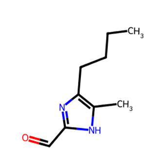 CCCCc1nc(C=O)[nH]c1C